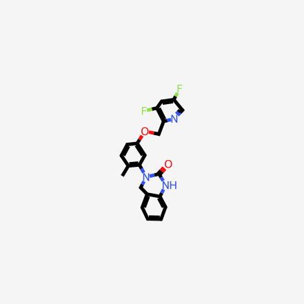 Cc1ccc(OCc2ncc(F)cc2F)cc1N1Cc2ccccc2NC1=O